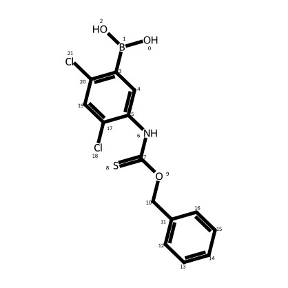 OB(O)c1cc(NC(=S)OCc2ccccc2)c(Cl)cc1Cl